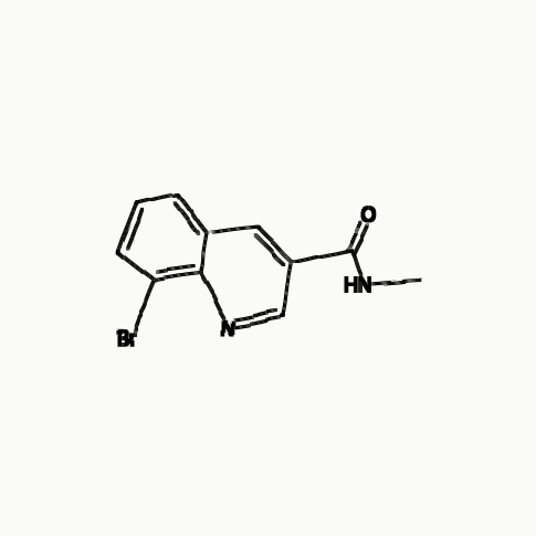 CNC(=O)c1cnc2c(Br)cccc2c1